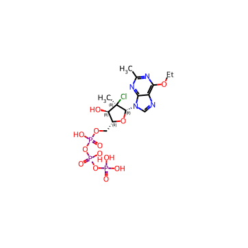 CCOc1nc(C)nc2c1ncn2[C@@H]1O[C@H](COP(=O)(O)OP(=O)(O)OP(=O)(O)O)[C@@H](O)[C@@]1(C)Cl